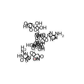 CO[C@@H]1[C@H](OP(=O)([O-])OC[C@H]2O[C@@H](n3ccc(=O)[nH]c3=O)[C@H](O)[C@@H]2O)[C@@H](COP(=O)(O)NP(=O)(O)OP(=O)(O)OC[C@H]2O[C@@H](n3c[n+](C)c4c(=O)[nH]c(N)nc43)[C@H](O)[C@@H]2CC(=O)N(C)C)O[C@H]1n1cnc2c(N)ncnc21